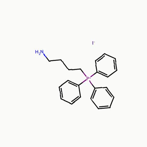 NCCCC[P+](c1ccccc1)(c1ccccc1)c1ccccc1.[I-]